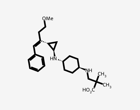 COCCC(=Cc1ccccc1)[C@@H]1C[C@H]1N[C@H]1CC[C@H](NCC(C)(C)C(=O)O)CC1